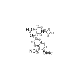 COc1ccc2cc(C(=O)[C@@H]3CN(C4CCC4)CC[C@@H]3C)ccc2c1CC#N